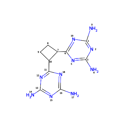 Nc1nc(N)nc(C2CCC2c2nc(N)nc(N)n2)n1